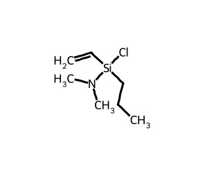 C=C[Si](Cl)(CCC)N(C)C